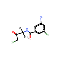 CCC(C)(NC(=O)c1cc(N)cc(Cl)c1)C(=O)CCl